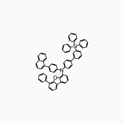 c1ccc(-c2cccc3c2oc2c(N(c4ccc(-c5cccc([Si](c6ccccc6)(c6ccccc6)c6ccccc6)c5)cc4)c4ccc(-c5cccc6ccccc56)cc4)cccc23)cc1